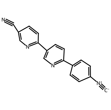 [C-]#[N+]c1ccc(-c2ccc(-c3ccc(C#N)cn3)cn2)cc1